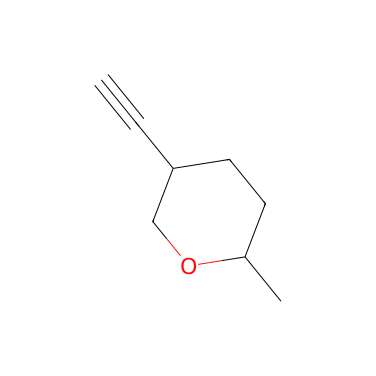 C#CC1CCC(C)OC1